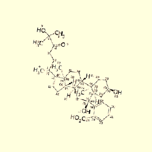 C[C@H](CCC(=O)C(C)(C)O)[C@H]1CC[C@H]2[C@@H]3C[C@@](O)(c4ccccc4C(=O)O)[C@@H]4C[C@H](O)CC[C@]4(C)[C@H]3CC[C@]12C